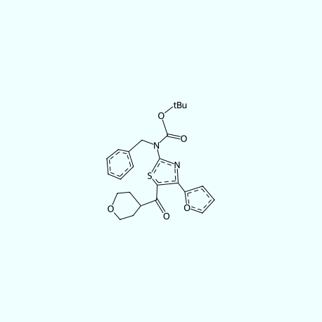 CC(C)(C)OC(=O)N(Cc1ccccc1)c1nc(-c2ccco2)c(C(=O)C2CCOCC2)s1